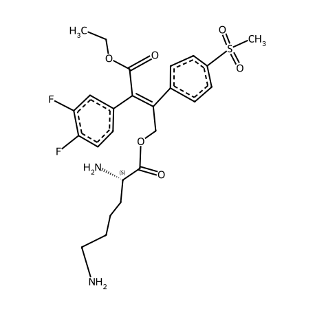 CCOC(=O)C(=C(COC(=O)[C@@H](N)CCCCN)c1ccc(S(C)(=O)=O)cc1)c1ccc(F)c(F)c1